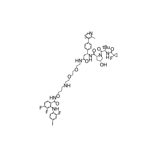 Cc1ncsc1-c1ccc([C@H](CC(=O)NCCOCCOCCNCCCONC(=O)c2ccc(F)c(F)c2Nc2ccc(I)cc2F)NC(=O)[C@@H]2C[C@@H](O)CN2C(=O)C(NC(=O)C2(F)CC2)C(C)(C)C)cc1